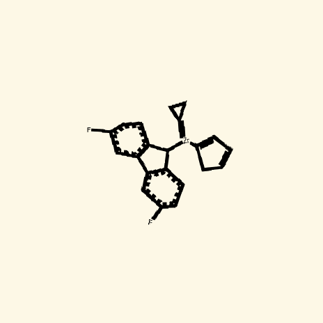 Fc1ccc2c(c1)-c1cc(F)ccc1[CH]2[Zr]([C]1=CC=CC1)=[C]1CC1